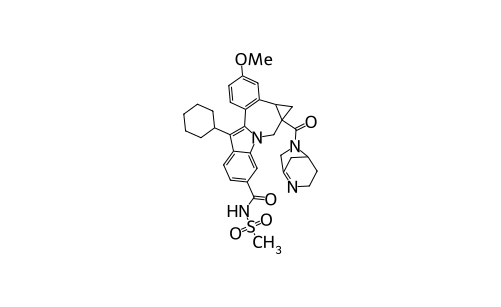 COc1ccc2c(c1)C1CC1(C(=O)N1CC3=NCCC1C3)Cn1c-2c(C2CCCCC2)c2ccc(C(=O)NS(C)(=O)=O)cc21